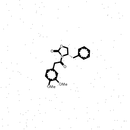 COc1ccc(CC(=O)N2C(=O)OC[C@@H]2Cc2ccccc2)cc1OC